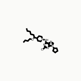 CCCCCC(OCCCC)C1CCN(Nc2nc(Cl)nc3c2ncn3C2CCCC2)CC1